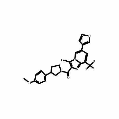 COc1ccc(C2CCN(C(=O)c3nc4c(C(F)(F)F)cc(-c5ccoc5)cn4c3Cl)C2)cc1